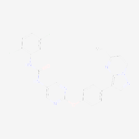 COc1ccn2ncc(-c3ccc(Oc4ncc(NC(=O)Nc5cc(Cl)ccc5Cl)cn4)cc3)c2n1